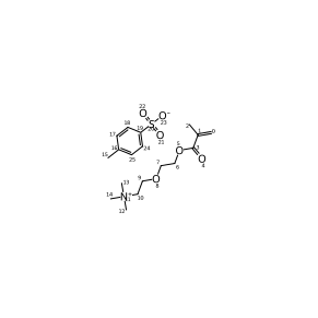 C=C(C)C(=O)OCCOCC[N+](C)(C)C.Cc1ccc(S(=O)(=O)[O-])cc1